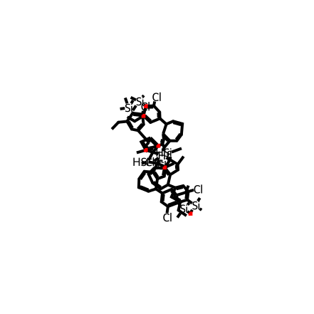 CCc1cc(C2C=CC=CC3=C2C=C(C)[C]32[SiH](C)[C]3(C(C)=CC4=C3C=CC=CC4c3cc(Cl)c([Si](C)(C)C)c(CC)c3)[Hf]23([Cl])([Cl])[C]2(C(C)=CC4=C2C=CC=CC4c2cc(Cl)c([Si](C)(C)C)c(CC)c2)[SiH](C)[C]32C(C)=CC3=C2C=CC=CC3c2cc(Cl)c([Si](C)(C)C)c(CC)c2)cc(Cl)c1[Si](C)(C)C